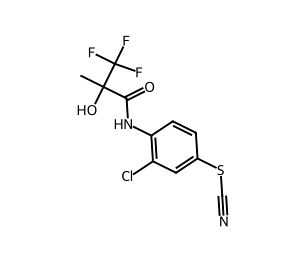 CC(O)(C(=O)Nc1ccc(SC#N)cc1Cl)C(F)(F)F